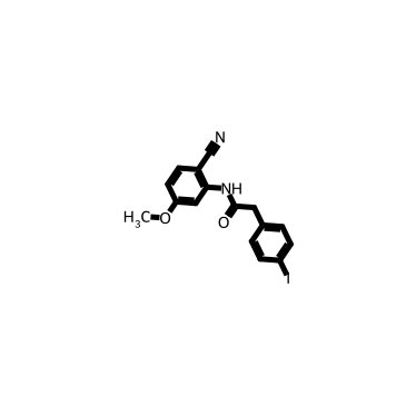 COc1ccc(C#N)c(NC(=O)Cc2ccc(I)cc2)c1